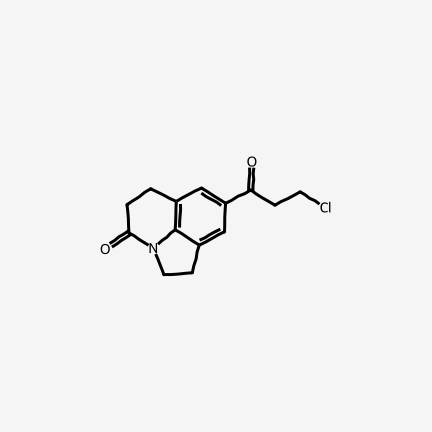 O=C(CCCl)c1cc2c3c(c1)CCN3C(=O)CC2